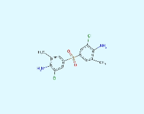 Cc1cc(S(=O)(=O)c2cc(C)c(N)c(Cl)c2)cc(Cl)c1N